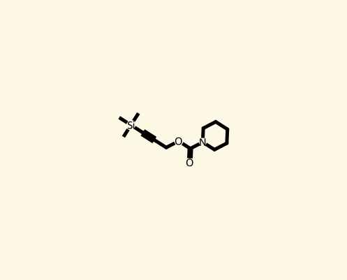 C[Si](C)(C)C#CCOC(=O)N1CCCCC1